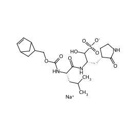 CC(C)C[C@H](NC(=O)OCC1CC2C=CC1C2)C(=O)N[C@@H](C[C@@H]1CCNC1=O)C(O)S(=O)(=O)[O-].[Na+]